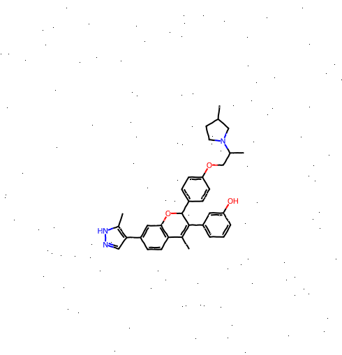 CC1=C(c2cccc(O)c2)C(c2ccc(OCC(C)N3CCC(C)C3)cc2)Oc2cc(-c3cn[nH]c3C)ccc21